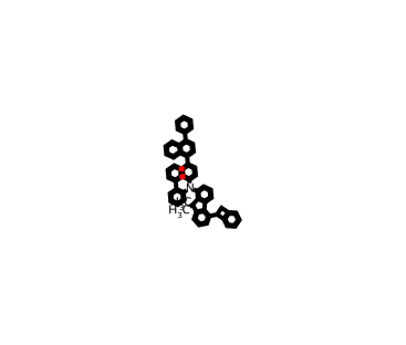 CC1(C)c2cccc(C3Cc4ccccc43)c2-c2cccc(N(c3ccc(-c4ccc(-c5ccccc5)c5ccccc45)cc3)c3ccccc3-c3ccccc3)c21